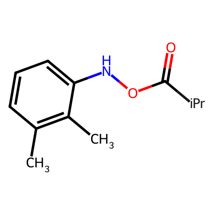 Cc1cccc(NOC(=O)C(C)C)c1C